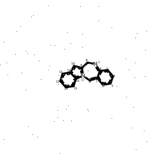 C1=c2ccccc2=NCc2cc3ccccc3n21